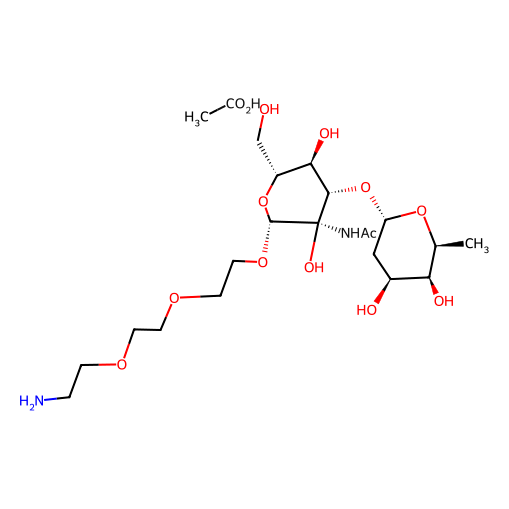 CC(=O)N[C@]1(O)[C@H](OCCOCCOCCN)O[C@H](CO)[C@@H](O)[C@@H]1O[C@H]1C[C@H](O)[C@H](O)[C@H](C)O1.CC(=O)O